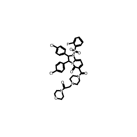 O=C(CN1CCN(C(=O)c2ccc3n(c2=O)C(c2ccc(Cl)cc2)C(c2ccc(Cl)cc2)N3S(=O)(=O)c2ccccc2F)CC1)N1CCOCC1